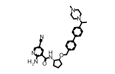 CC(c1ccc(-c2ccc(CO[C@H]3CCC[C@@H]3NC(=O)c3cc(C#N)cnc3N)cc2)cc1)N1CCN(C)CC1